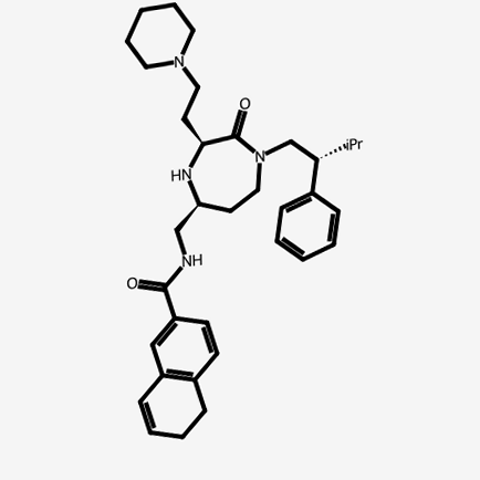 CC(C)[C@@H](CN1CC[C@@H](CNC(=O)c2ccc3c(c2)C=CCC3)N[C@@H](CCN2CCCCC2)C1=O)c1ccccc1